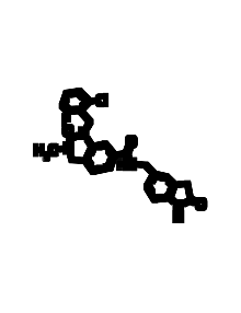 CN1Cc2ccc(C(=O)NCc3ccc4c(c3)CC(=O)N4)cc2N(Cc2c(F)cccc2Cl)C1=O